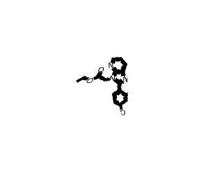 CCOC(=O)Cn1c(-c2ccc(Cl)cc2)nc2cccnc21